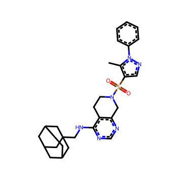 Cc1c(S(=O)(=O)N2CCc3c(ncnc3NCC34CC5CC(CC(C5)C3)C4)C2)cnn1-c1ccccc1